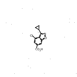 O=C(O)c1cc(Cl)c2c(C3CC3)noc2c1